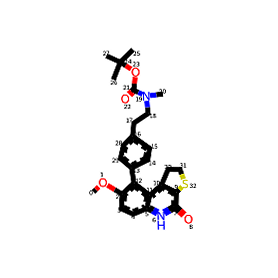 COc1ccc2[nH]c(=O)c3c(c2c1-c1ccc(CCN(C)C(=O)OC(C)(C)C)cc1)CCS3